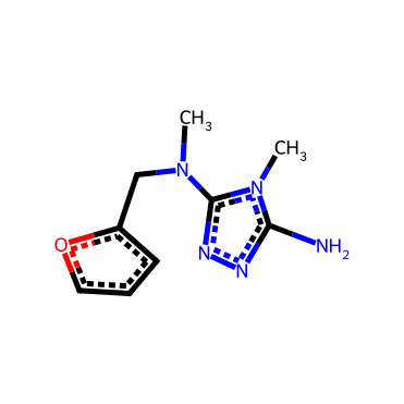 CN(Cc1ccco1)c1nnc(N)n1C